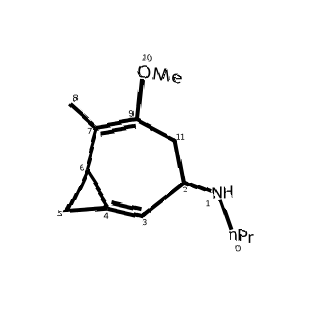 CCCNC1C=C2CC2C(C)=C(OC)C1